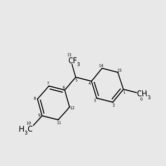 CC1=CC=C(C(C2=CC=C(C)CC2)C(F)(F)F)CC1